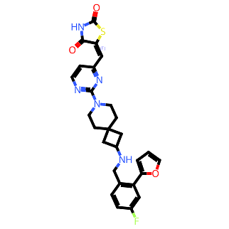 O=C1NC(=O)/C(=C\c2ccnc(N3CCC4(CC3)CC(NCc3ccc(F)cc3-c3ccco3)C4)n2)S1